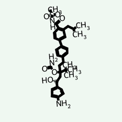 CC(C)Cc1cc(-c2ccc(CCC(C[C@@H](O)c3ccc(N)cc3)(OC(N)=O)C(C)(C)C)cc2)ccc1C(=O)NS(C)(=O)=O